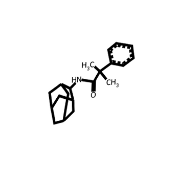 CC(C)(C(=O)NC1C2CC3CC(C2)CC1C3)c1ccccc1